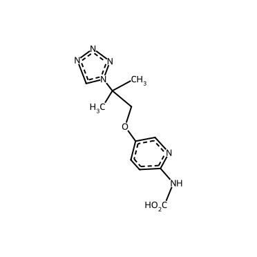 CC(C)(COc1ccc(NC(=O)O)nc1)n1cnnn1